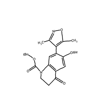 COc1cc2c(cc1-c1c(C)noc1C)N(C(=O)OC(C)(C)C)CCC2=O